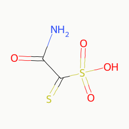 NC(=O)C(=S)S(=O)(=O)O